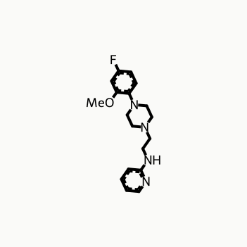 COc1cc(F)ccc1N1CCN(CCNc2ccccn2)CC1